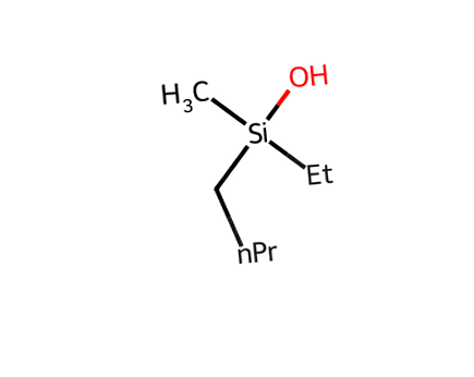 CCCC[Si](C)(O)CC